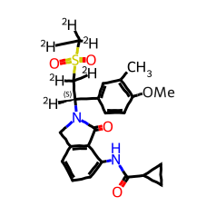 [2H]C([2H])([2H])S(=O)(=O)C([2H])([2H])[C@]([2H])(c1ccc(OC)c(C)c1)N1Cc2cccc(NC(=O)C3CC3)c2C1=O